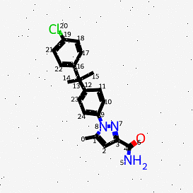 Cc1cc(C(N)=O)nn1-c1ccc(C(C)(C)c2ccc(Cl)cc2)cc1